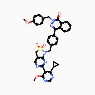 COc1ccc(Cn2nc(-c3ccc(CN4c5nc(-c6c(OC)ncnc6C6CC6)ncc5CS4(=O)=O)cc3)c3ccccc3c2=O)cc1